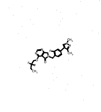 CCC(F)(F)COc1ncnc2c1C(=O)N(Cc1ccc(-c3cn(C)nc3C)cc1F)C2